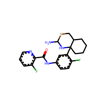 NC1NC2(c3cc(NC(=O)c4ncccc4F)ccc3F)CCCCC2CS1